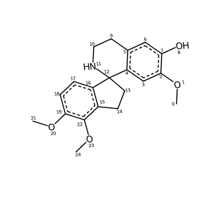 COc1cc2c(cc1O)CCNC21CCc2c1ccc(OC)c2OC